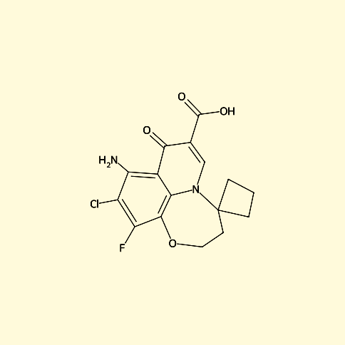 Nc1c(Cl)c(F)c2c3c1c(=O)c(C(=O)O)cn3C1(CCC1)CCO2